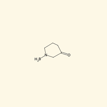 BN1CCCC(=O)C1